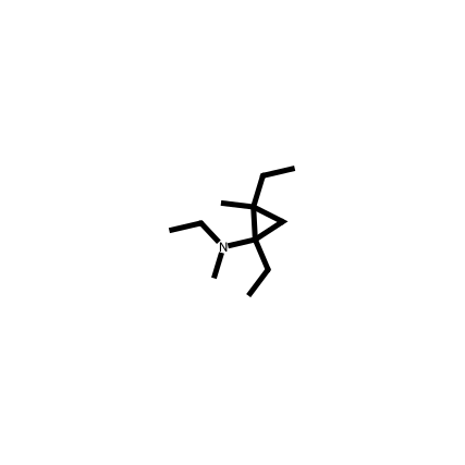 CCN(C)C1(CC)CC1(C)CC